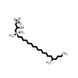 CCCCC(C)CCCCCCCCCCCCCC[N+](C)(C)CC(O)CS(=O)(=O)[O-]